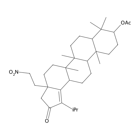 CC(=O)OC1CCC2(C)C(CCC3(C)C2CCC2C4=C(C(C)C)C(=O)CC4(CC[N+](=O)[O-])CCC23C)C1(C)C